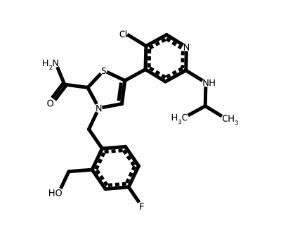 CC(C)Nc1cc(C2=CN(Cc3ccc(F)cc3CO)C(C(N)=O)S2)c(Cl)cn1